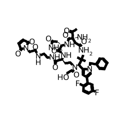 CC(=O)[C@@](N)(CC(N)=O)C(=O)N[C@@H](CC(N)=O)C(=O)N[C@@H](CCN(C(=O)CO)[C@@H](c1cc(-c2cc(F)ccc2F)cn1Cc1ccccc1)C(C)(C)C)C(=O)NCCNC(=O)CN1C(=O)C=CC1=O